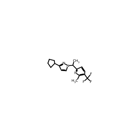 Cc1nc(C(C)n2ccc(C3CCCC3)n2)ccc1C(F)(F)F